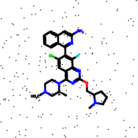 C[C@H]1CN(C(=O)O)CCN1c1nc(OCC2CCCN2C)nc2c(F)c(-c3nc(N)cc4ccccc34)c(Cl)cc12